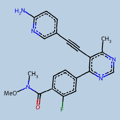 CON(C)C(=O)c1ccc(-c2ncnc(C)c2C#Cc2ccc(N)nc2)cc1F